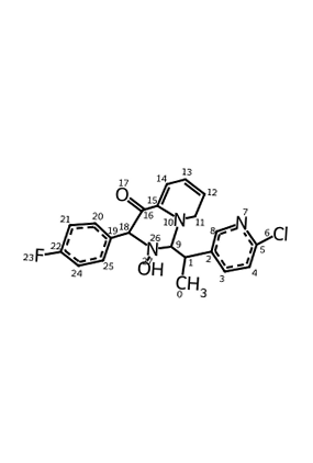 CC(c1ccc(Cl)nc1)C1N2CC=CC=C2C(=O)C(c2ccc(F)cc2)N1O